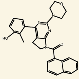 Cc1c(O)cccc1-c1nc(N2CCOCC2)nc2c1CCN2C(=O)c1cccc2ccccc12